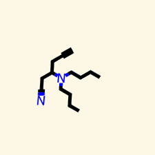 C#CCC(CC#N)N(CCCC)CCCC